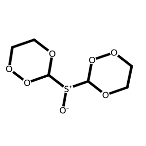 [O-][S+](C1OCCOO1)C1OCCOO1